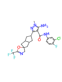 Cn1nc(C2CC3CC4(CN=C(C(F)(F)F)O4)CC3C2)c(C(=O)Nc2ccc(F)c(Cl)c2)c1N